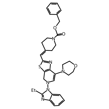 CCc1nc2ccccc2n1N1C=C(N2CCOCC2)c2nc(C=C3CCN(C(=O)OCc4ccccc4)CC3)sc2C1